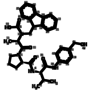 CC(C)[C@H](NC(=O)[C@@H]1CCCN1C(=O)[C@@H](C)N(CC1c2ccccc2-c2ccccc21)C(=O)O)C(=O)Nc1ccc(CO)cc1